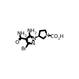 NC(=O)c1c(Br)nn([C@H]2CCN(C(=O)O)C2)c1N